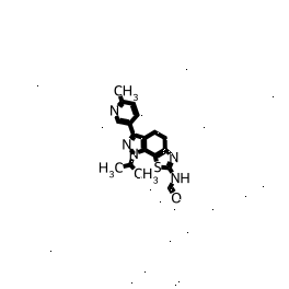 Cc1ccc(-c2nn(C(C)C)c3c2CCc2nc(NC=O)sc2-3)cn1